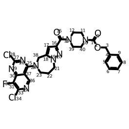 O=C(OCc1ccccc1)N1CCN(C(=O)c2cc3n(n2)CCCN(c2nc(Cl)nc4c(F)c(Cl)ncc24)C3)CC1